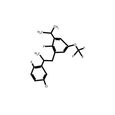 CC(C)c1cc(OC(F)(F)F)cc(CC(C)c2cc(Cl)ccc2F)c1F